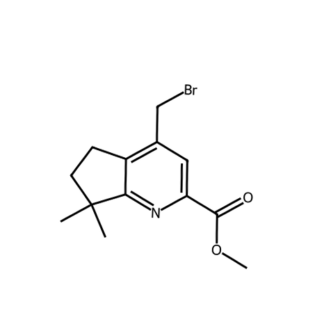 COC(=O)c1cc(CBr)c2c(n1)C(C)(C)CC2